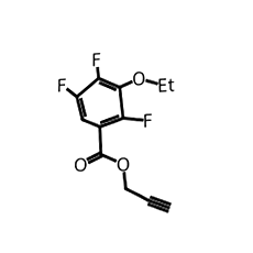 C#CCOC(=O)c1cc(F)c(F)c(OCC)c1F